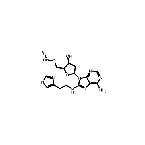 [3H]POCC1OC(n2c(NCCc3c[nH]cn3)nc3c(N)ncnc32)CC1O